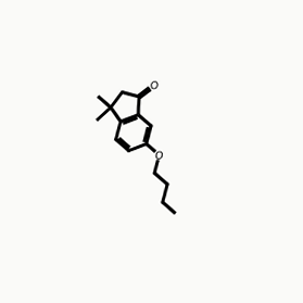 CCCCOc1ccc2c(c1)C(=O)CC2(C)C